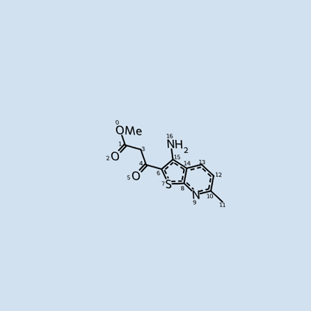 COC(=O)CC(=O)c1sc2nc(C)ccc2c1N